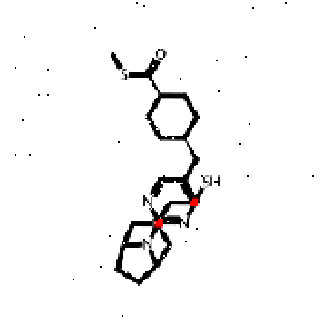 CSC(=O)[C@H]1CC[C@@H](Cc2cnc(N3C4CCC3CN(CCS)C4)nc2)CC1